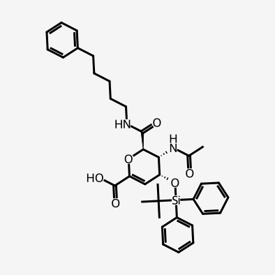 CC(=O)N[C@@H]1[C@H](O[Si](c2ccccc2)(c2ccccc2)C(C)(C)C)C=C(C(=O)O)O[C@H]1C(=O)NCCCCCc1ccccc1